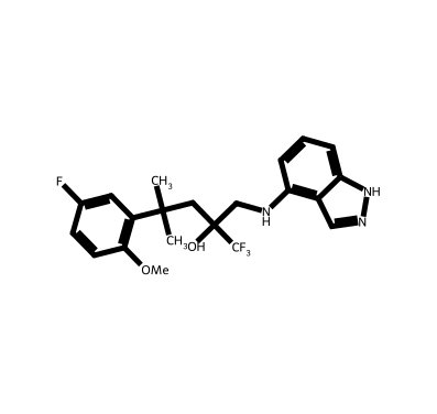 COc1ccc(F)cc1C(C)(C)CC(O)(CNc1cccc2[nH]ncc12)C(F)(F)F